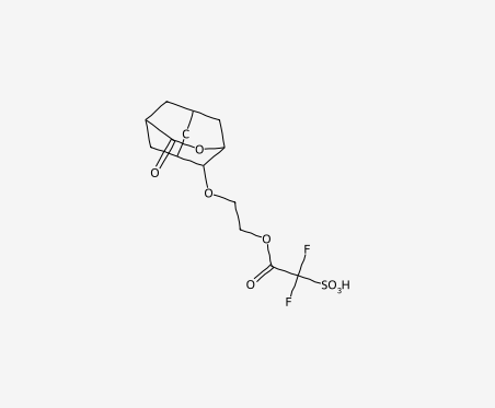 O=C1OC2CC3CC1CC(C3)C2OCCOC(=O)C(F)(F)S(=O)(=O)O